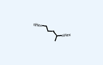 [CH2]CCCCCCCCC(C)CCCCC[CH2]